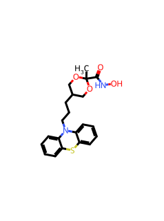 CC1(C(=O)NO)OCC(CCCN2c3ccccc3Sc3ccccc32)CO1